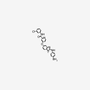 Bc1ccc(Nc2nc3cc(Oc4ccnc(C(=O)Nc5cccc(Cl)c5)c4)ccc3n2C)cc1